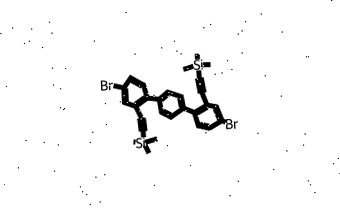 C[Si](C)(C)C#Cc1cc(Br)ccc1-c1ccc(-c2ccc(Br)cc2C#C[Si](C)(C)C)cc1